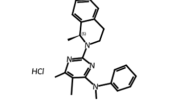 Cc1nc(N2CCc3ccccc3[C@@H]2C)nc(N(C)c2ccccc2)c1C.Cl